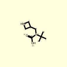 CC(C)(C)N(CC1CNC1)C(=O)O